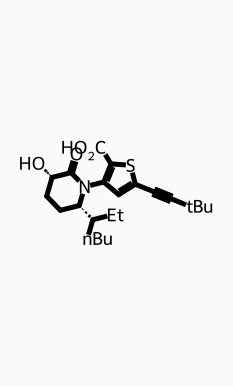 CCCCC(CC)[C@@H]1CC[C@H](O)C(=O)N1c1cc(C#CC(C)(C)C)sc1C(=O)O